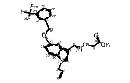 C=CCn1cc(C=NOCC(=O)O)c2cc(OCc3cccc(C(F)(F)F)c3)ccc21